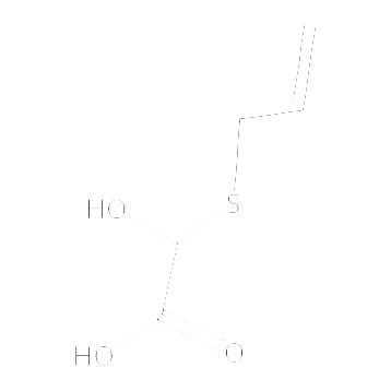 C=CCSC(O)C(=O)O